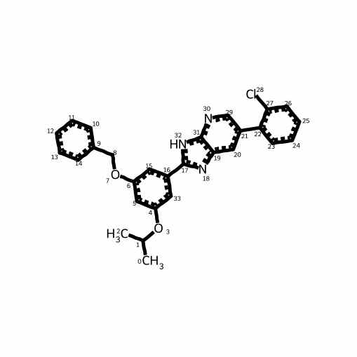 CC(C)Oc1cc(OCc2ccccc2)cc(-c2nc3cc(-c4ccccc4Cl)cnc3[nH]2)c1